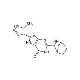 Cc1[nH]ncc1-c1cc2nc(C3NC4CCC3C4)[nH]c(=O)c2[nH]1